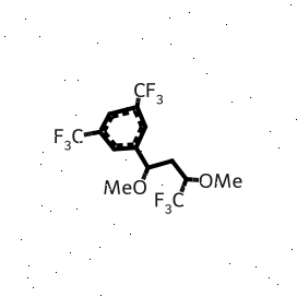 COC(CC(OC)C(F)(F)F)c1cc(C(F)(F)F)cc(C(F)(F)F)c1